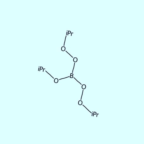 CC(C)OOB(OOC(C)C)OC(C)C